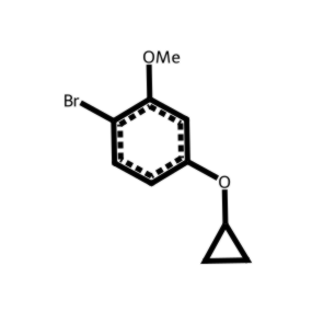 COc1cc(OC2CC2)ccc1Br